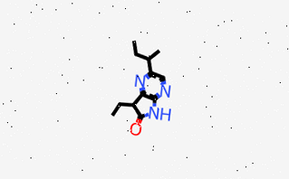 CCC(C)c1cnc2c(n1)C(CC)C(=O)N2